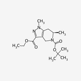 CCOC(=O)c1nn(C)c2c1CN(C(=O)OC(C)(C)C)[C@H](C)C2